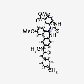 COC(=O)c1ccc2c(c1)/C(=C(/Nc1ccc(N(C)C(=O)CN3CCN(C)CC3)cc1)c1ccc(OC)cc1)C(=O)N2